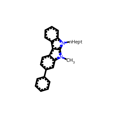 CCCCCCCn1c2ccccc2c2c3ccc(-c4ccccc4)cc3n(C)c21